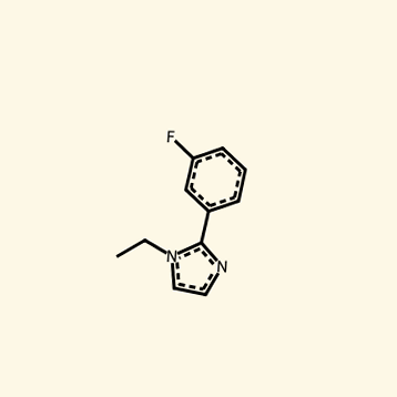 CCn1ccnc1-c1cccc(F)c1